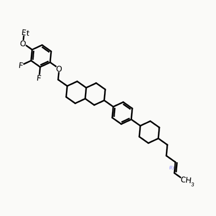 C/C=C/CCC1CCC(c2ccc(C3CCC4CC(COc5ccc(OCC)c(F)c5F)CCC4C3)cc2)CC1